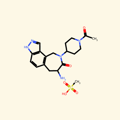 CC(=O)N1CCC(N2Cc3c(ccc4[nH]ncc34)CC(N)C2=O)CC1.CS(=O)(=O)O